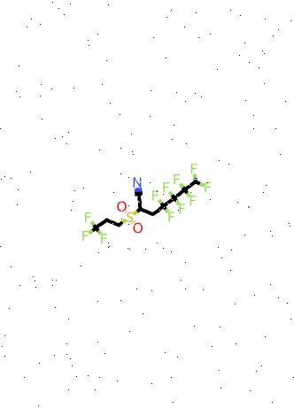 N#CC(CC(F)(F)C(F)(F)C(F)(F)C(F)F)S(=O)(=O)CCC(F)(F)F